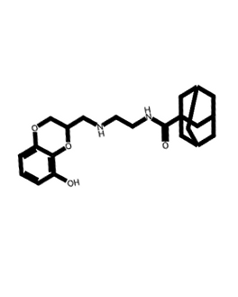 O=C(NCCNCC1COc2cccc(O)c2O1)C12CC3CC(CC(C3)C1)C2